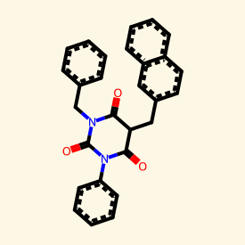 O=C1C(Cc2ccc3ccccc3c2)C(=O)N(c2ccccc2)C(=O)N1Cc1ccccc1